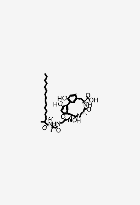 CCCCCCCCCCCCCCC(C)C(=O)N[C@H](C)C(=O)NCC(=O)N(C)[C@@H]1C(=O)N[C@@H](C)C(=O)N[C@H](C(=O)O)Cc2ccc(O)c(c2)-c2cc1ccc2O